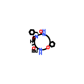 CCC(C)[C@@H]1NCCOc2ccccc2CCCNC(=O)[C@@H](Cc2ccccc2)N2CC[C@H](C2=O)C(C)C1=O